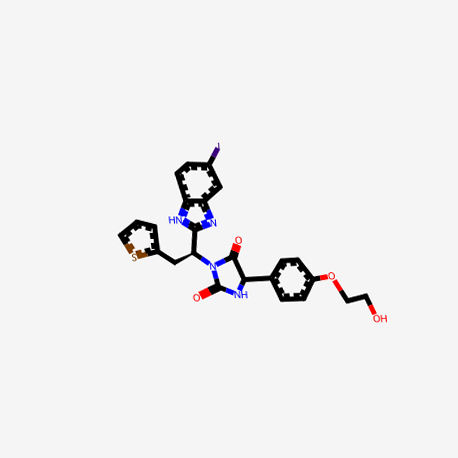 O=C1NC(c2ccc(OCCO)cc2)C(=O)N1[C@@H](Cc1cccs1)c1nc2cc(I)ccc2[nH]1